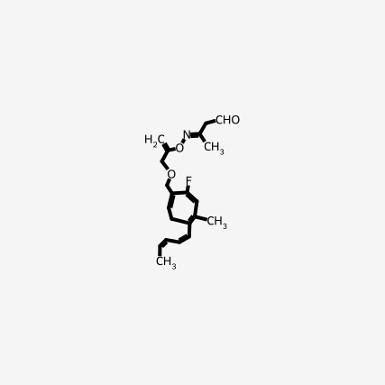 C=C(COCC1=CCC(/C=C\C=C/C)=C(C)C=C1F)O/N=C(\C)CC=O